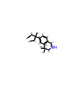 CCC(C)(CC)c1ccc2c(c1)C(C)(C)CNC2